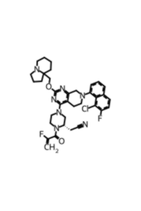 C=C(F)C(=O)N1CCN(c2nc(OCC34CCCCN3CCC4)nc3c2CCN(c2cccc4ccc(F)c(Cl)c24)C3)C[C@@H]1CC#N